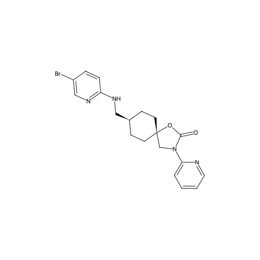 O=C1O[C@]2(CC[C@H](CNc3ccc(Br)cn3)CC2)CN1c1ccccn1